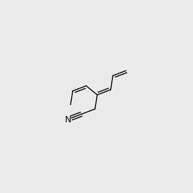 C=C/C=C(\C=C/C)CC#N